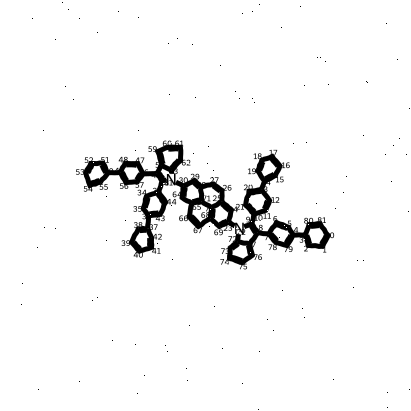 c1ccc(-c2ccc(-c3c(-c4ccc(-c5ccccc5)cc4)n(-c4cc5ccc6cc(-n7c(-c8ccc(-c9ccccc9)cc8)c(-c8ccc(-c9ccccc9)cc8)c8ccccc87)cc7ccc(c4)c5c67)c4ccccc34)cc2)cc1